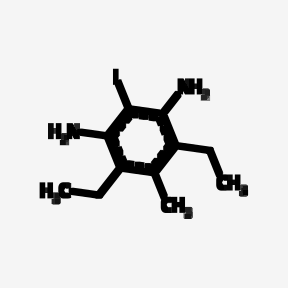 CCc1c(C)c(CC)c(N)c(I)c1N